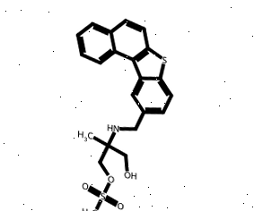 CC(CO)(COS(C)(=O)=O)NCc1ccc2sc3ccc4ccccc4c3c2c1